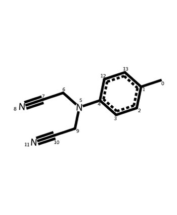 Cc1ccc(N(CC#N)CC#N)cc1